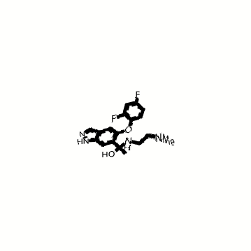 CNCCNC(C)(O)c1cc2[nH]ncc2cc1Oc1ccc(F)cc1F